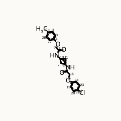 Cc1ccc(OCC(=O)NC23CC(NC(=O)COc4ccc(Cl)cc4)(C2)C3)cc1